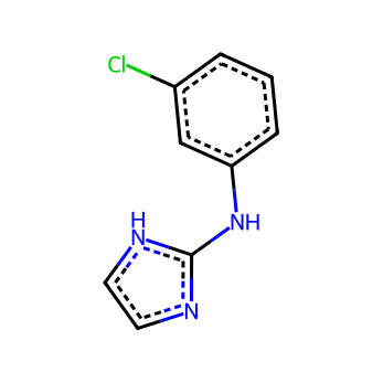 Clc1cccc(Nc2ncc[nH]2)c1